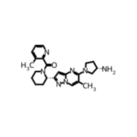 Cc1cccnc1C(=O)N1CCCC[C@H]1c1cc2nc(N3CC[C@H](N)C3)c(C)cn2n1